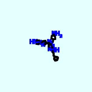 NC1CCC(Cn2nc(-c3ccc(N4CCNCC4)nc3)c3cnc(NCCCc4ccccc4)nc32)CC1